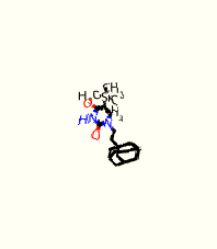 C[Si](C)(C)c1cn(CCC23CC4CC(CC(C4)C2)C3)c(=O)[nH]c1=O